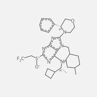 CC1CCC(Cn2c(N3CCOC[C@H]3c3ccccc3)nc3nc([S+]([O-])CC(F)(F)F)nc(N[C@H](C)C4CCC4)c32)CC1